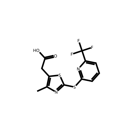 Cc1nc(Sc2cccc(C(F)(F)F)n2)sc1CC(=O)O